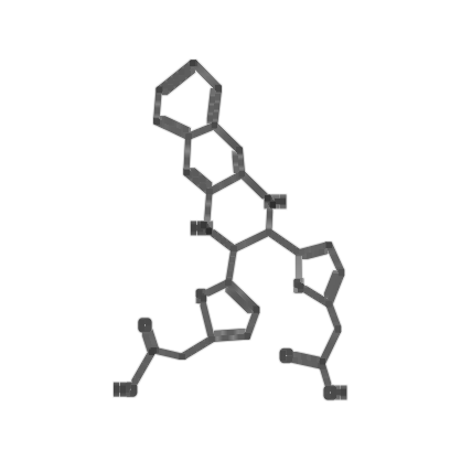 O=C(O)Cc1ccc(C2Nc3cc4ccccc4cc3NC2c2ccc(CC(=O)O)s2)s1